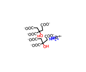 O=C([O-])CC(O)(CC(=O)[O-])C(=O)[O-].O=C([O-])CC(O)(CC(=O)[O-])C(=O)[O-].[NH4+].[NH4+].[Zr+4]